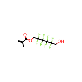 C=C(C)C(=O)OCC(F)(F)C(F)(F)C(F)(F)C(F)(F)CO